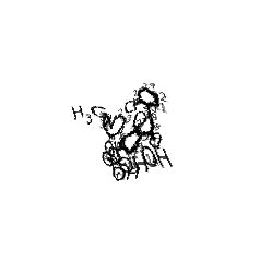 CN1CC[C@H](c2c(OP(=O)(O)O)cc(O)c3c(=O)cc(-c4ccccc4Cl)oc23)[C@H](O)C1